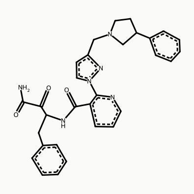 NC(=O)C(=O)C(Cc1ccccc1)NC(=O)c1cccnc1-n1ccc(CN2CCC(c3ccccc3)C2)n1